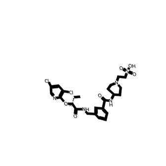 CC[C@@H](Oc1ncc(Cl)cc1Cl)C(=O)NCc1cccc(C(=O)NC2CCN(CCS(=O)(=O)O)CC2)c1